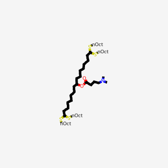 CCCCCCCCSC(CCCCCCCC(CCCCCCCC(SCCCCCCCC)SCCCCCCCC)OC(=O)CCCN(C)C)SCCCCCCCC